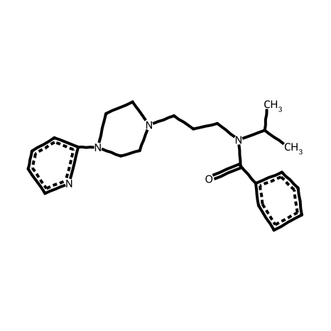 CC(C)N(CCCN1CCN(c2ccccn2)CC1)C(=O)c1ccccc1